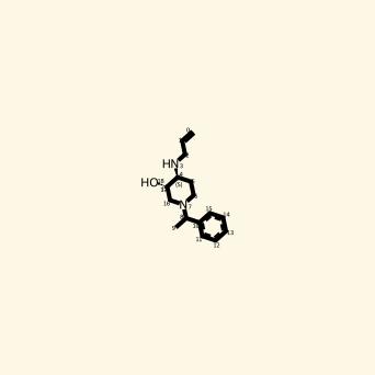 C=CCN[C@H]1CCN(C(C)c2ccccc2)C[C@@H]1O